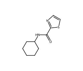 O=C(NC1CCCCC1)c1nccs1